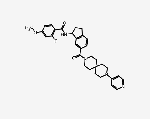 COc1ccc(C(=O)NC2CCc3ccc(C(=O)N4CCC5(CC4)CCN(c4ccncc4)CC5)cc32)c(F)c1